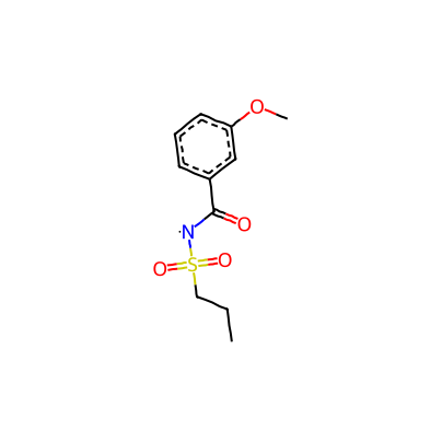 CCCS(=O)(=O)[N]C(=O)c1cccc(OC)c1